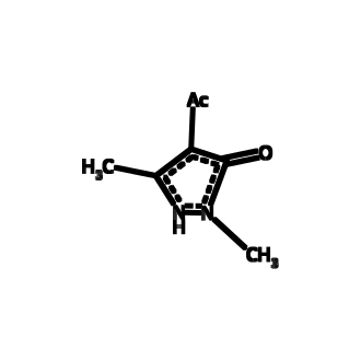 CC(=O)c1c(C)[nH]n(C)c1=O